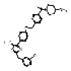 Cc1oc(Cc2cccc(Cl)c2)nc1-c1ccc(OCc2ccc(C(=O)N3CCC(N)CC3)cn2)cc1